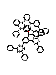 c1ccc(-c2ccc3c(c2)c2ccccc2n3-c2ccc(-c3nc(-c4ccccc4)nc(-c4ccccc4)n3)cc2-c2nc(-c3ccccc3)nc(-c3cccc(-c4cccc(N5c6ccccc6B6c7ccccc7N(c7ccccc7)c7cccc5c76)c4)c3)n2)cc1